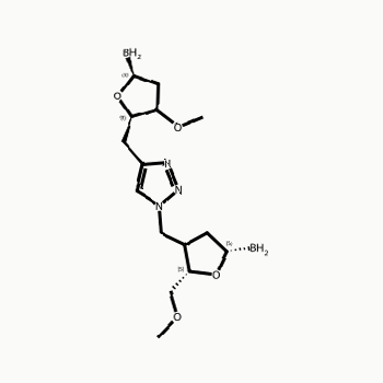 B[C@H]1CC(Cn2cc(C[C@H]3O[C@@H](B)CC3OC)nn2)[C@@H](COC)O1